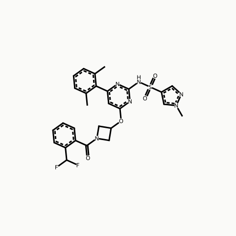 Cc1cccc(C)c1-c1cc(OC2CN(C(=O)c3ccccc3C(F)F)C2)nc(NS(=O)(=O)c2cnn(C)c2)n1